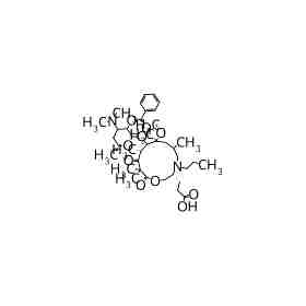 CCCN1C[C@H](C)C[C@@](C)(OC)[C@H](O[C@H]2O[C@H](C)C[C@@H](N(C)C)[C@H]2OC(=O)c2ccccc2)[C@@H](C)C(=O)C(C)(C)C(=O)OC[C@H]1CCC(=O)O